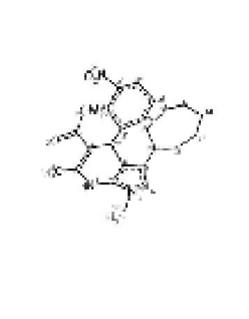 COC(=O)C1=C(C)Nc2c(c(C3CCCCCC3)nn2C)C1c1cccc([N+](=O)[O-])c1